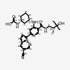 CC(C)(O)[C@H](F)CNC(=O)c1cnc(-c2ccc3cc(C#N)cnn23)cc1N[C@H]1CCC[C@@H](NC(=O)O)C1